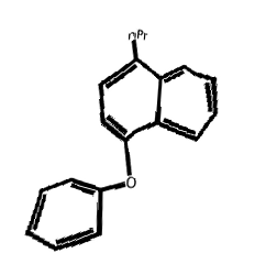 [CH2]CCc1ccc(Oc2ccccc2)c2ccccc12